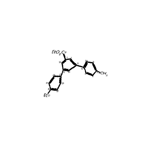 CCOC(=O)c1cc(-c2ccc(C)cc2)cc(-c2ccc(CC)cc2)c1